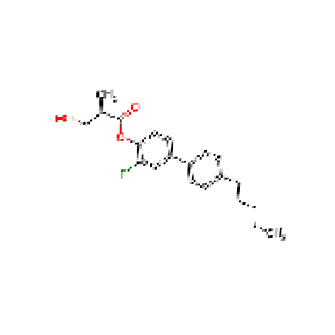 C=C(CO)C(=O)Oc1ccc(-c2ccc(CCCCC)cc2)cc1F